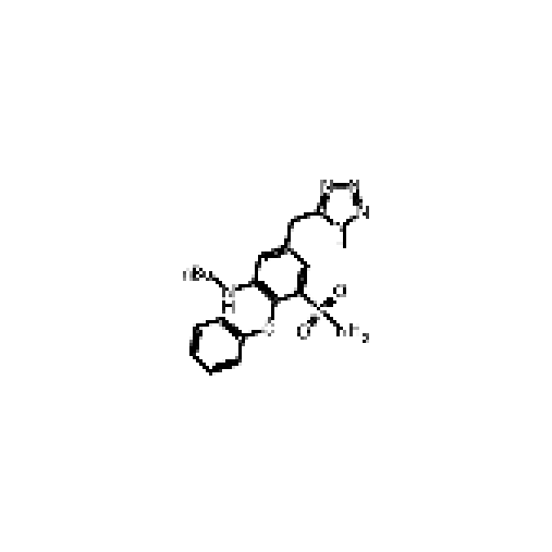 CCCCNc1cc(Cc2nnn[nH]2)cc(S(N)(=O)=O)c1Oc1ccccc1